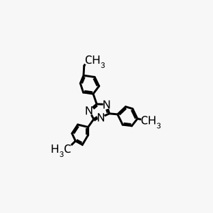 CCc1ccc(-c2nc(-c3ccc(C)cc3)nc(-c3ccc(C)cc3)n2)cc1